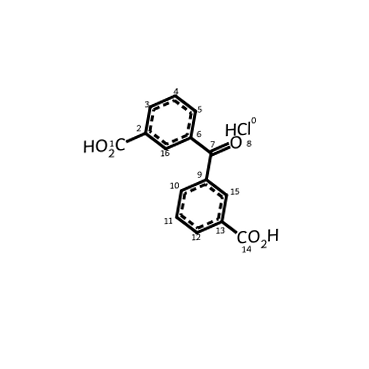 Cl.O=C(O)c1cccc(C(=O)c2cccc(C(=O)O)c2)c1